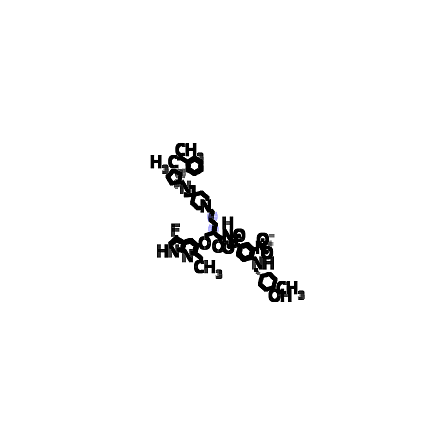 CCc1nc2[nH]cc(F)c2cc1OC/C(=C\C=C\N1CCC2(CC1)CN([C@@H]1CCC[C@@H]1c1ccccc1C(C)C)C2)C(=O)NS(=O)(=O)c1ccc(NC[C@H]2CC[C@](C)(O)CC2)c([N+](=O)[O-])c1